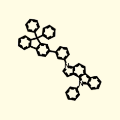 c1ccc(-n2c3ccccc3c3ccc4c(ccn4-c4cccc(-c5ccc6c(c5)C(c5ccccc5)(c5ccccc5)c5ccccc5-6)c4)c32)cc1